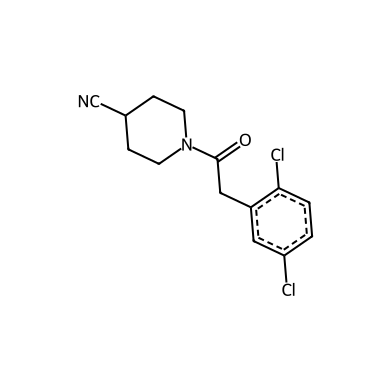 N#CC1CCN(C(=O)Cc2cc(Cl)ccc2Cl)CC1